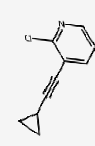 Clc1ncccc1C#CC1CC1